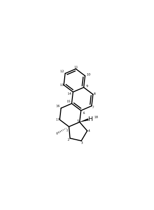 C[C@@]12CCC[C@H]1c1ccc3ccccc3c1CC2